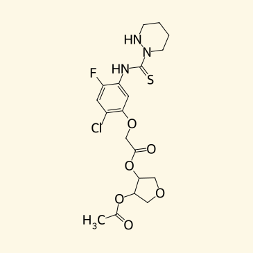 CC(=O)OC1COCC1OC(=O)COc1cc(NC(=S)N2CCCCN2)c(F)cc1Cl